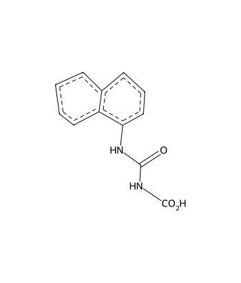 O=C(O)NC(=O)Nc1cccc2ccccc12